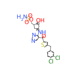 NS(=O)(=O)OCC1C[C@@H](Nc2ncncc2C(=O)c2cc(Cc3ccc(Cl)c(Cl)c3)cs2)C[C@@H]1O